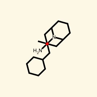 CC(CC1CCCCC1)N1C2CCCC1CC(N)C2